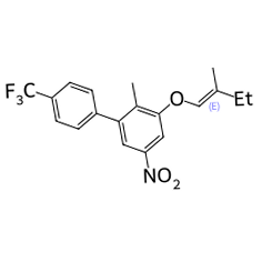 CC/C(C)=C/Oc1cc([N+](=O)[O-])cc(-c2ccc(C(F)(F)F)cc2)c1C